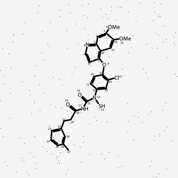 COc1cc2nccc(Oc3ccc(N(S)C(=O)NC(=O)CCc4cccc(C)c4)cc3Cl)c2cc1OC